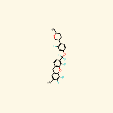 CCCc1cc2c(c(F)c1F)Oc1c(ccc(C(F)(F)Oc3ccc(C4CCC(CCC)OC4)c(F)c3)c1F)C2